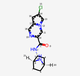 O=C(N[C@@H]1C[C@H]2CC[C@@H]1N2)c1cn2cc(Cl)cc2cn1